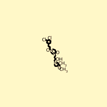 COCC1(C)CCCN(CC(O)CCN2CCN(C(=O)/C=C/c3ccc(Cl)c(Cl)c3)CCC2=O)C1